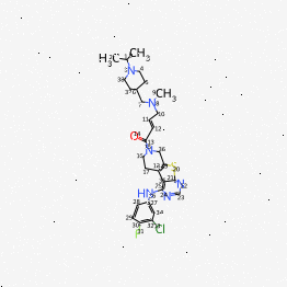 CC(C)N1CCC(CN(C)C/C=C/C(=O)N2CCc3c(sc4ncnc(Nc5ccc(F)c(Cl)c5)c34)C2)CC1